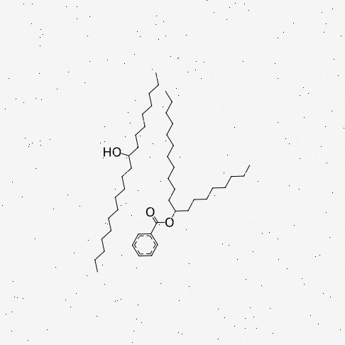 CCCCCCCCCCCC(CCCCCCCC)OC(=O)c1ccccc1.CCCCCCCCCCCC(O)CCCCCCCC